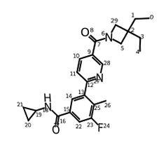 CCC1(CC)CN(C(=O)c2ccc(-c3cc(C(=O)NC4CC4)cc(F)c3C)nc2)C1